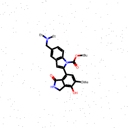 CCN(CC)Cc1ccc2c(c1)cc(-c1cc(OC)c(O)c3c1C(=O)NC3)n2C(=O)OC(C)(C)C